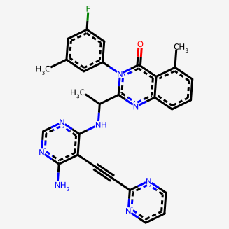 Cc1cc(F)cc(-n2c(C(C)Nc3ncnc(N)c3C#Cc3ncccn3)nc3cccc(C)c3c2=O)c1